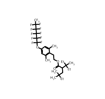 CCC(C)(C)CC(C(=O)OCCc1c(C)cc(OC(F)(F)C(F)(F)C(F)(F)C(F)(F)C(F)(F)C(F)(F)F)cc1C)C(C)(CC)CC